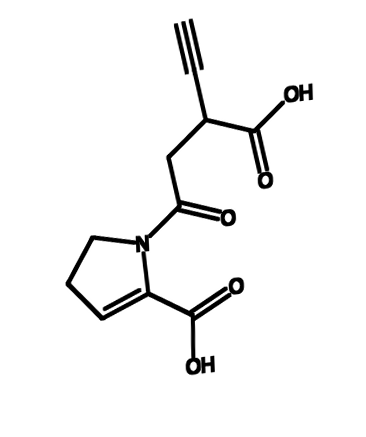 C#CC(CC(=O)N1CCC=C1C(=O)O)C(=O)O